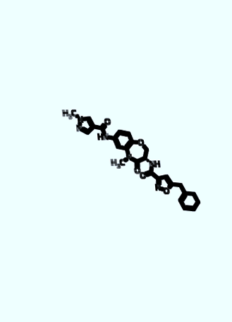 CN1C(=O)[C@@H](NC(=O)c2cc(CC3=CC=CCC3)on2)COc2ccc(NC(=O)c3cnn(C)c3)cc21